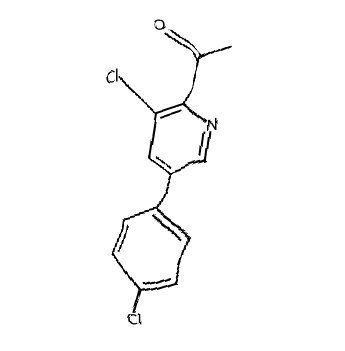 CC(=O)c1ncc(-c2ccc(Cl)cc2)cc1Cl